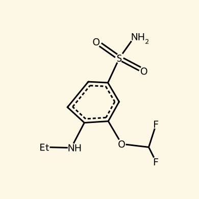 CCNc1ccc(S(N)(=O)=O)cc1OC(F)F